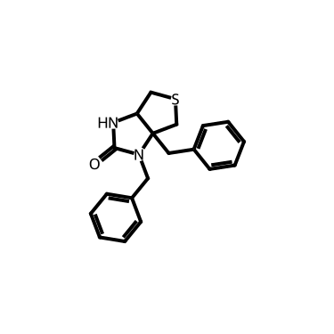 O=C1NC2CSCC2(Cc2ccccc2)N1Cc1ccccc1